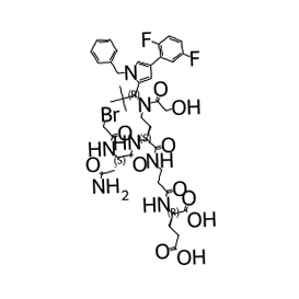 CC(C)(C)[C@H](c1cc(-c2cc(F)ccc2F)cn1Cc1ccccc1)N(CC[C@H](NC(=O)[C@H](CC(N)=O)NC(=O)CBr)C(=O)NCCC(=O)N[C@H](CCC(=O)O)C(=O)O)C(=O)CO